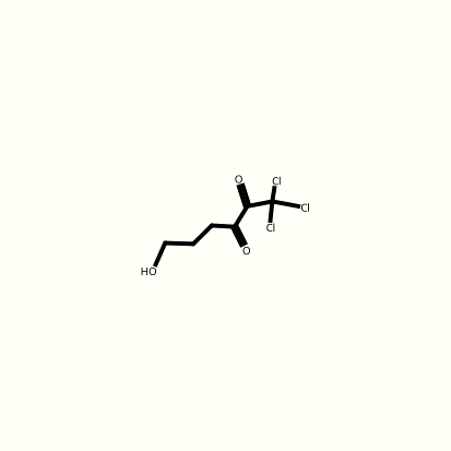 O=C(CCCO)C(=O)C(Cl)(Cl)Cl